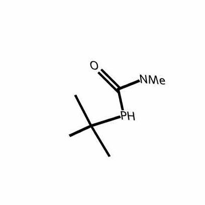 CNC(=O)PC(C)(C)C